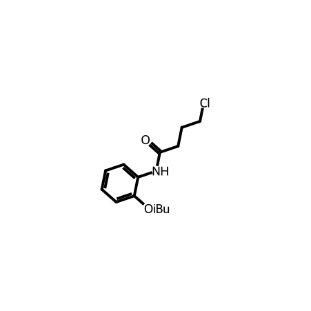 CC(C)COc1ccccc1NC(=O)CCCCl